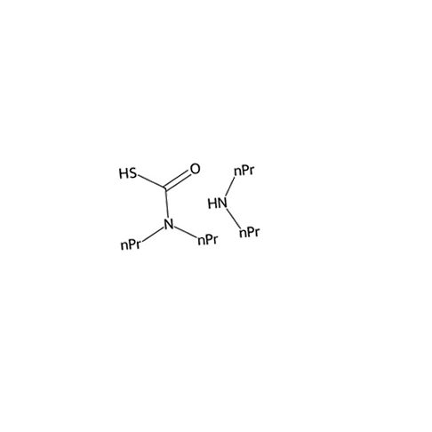 CCCN(CCC)C(=O)S.CCCNCCC